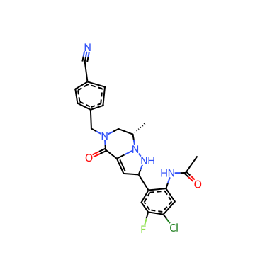 CC(=O)Nc1cc(Cl)c(F)cc1C1C=C2C(=O)N(Cc3ccc(C#N)cc3)C[C@H](C)N2N1